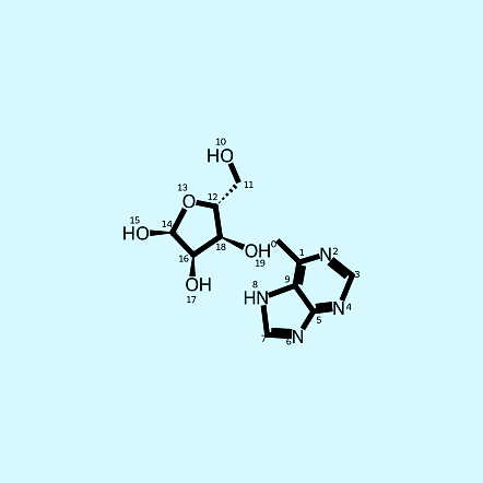 Cc1ncnc2nc[nH]c12.OC[C@H]1O[C@H](O)[C@H](O)[C@@H]1O